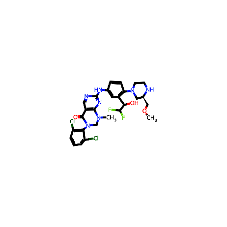 COC[C@H]1CN(c2ccc(Nc3ncc4c(n3)N(C)CN(c3c(Cl)cccc3Cl)C4=O)cc2C(O)C(F)F)CCN1